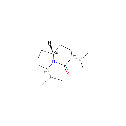 CC(C)[C@H]1CC[C@H]2CCC[C@@H](C(C)C)N2C1=O